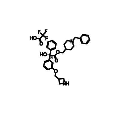 O=C(O)C(F)(F)F.O=C(OCC1CCN(Cc2ccccc2)CC1)[C@](O)(c1ccccc1)c1cccc(OCC2CNC2)c1